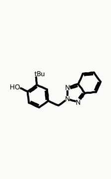 CC(C)(C)c1cc(Cn2nc3ccccc3n2)ccc1O